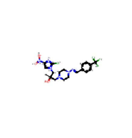 C[C@](O)(CN1CCN(/N=C/c2ccc(C(F)(F)F)cc2)CC1)Cn1cc([N+](=O)[O-])nc1Cl